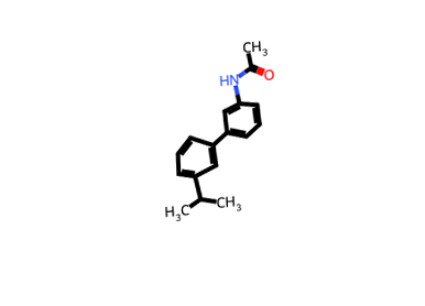 CC(=O)Nc1cccc(-c2cccc(C(C)C)c2)c1